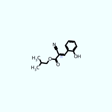 CC(C)COC(=O)/C(C#N)=C/c1ccccc1O